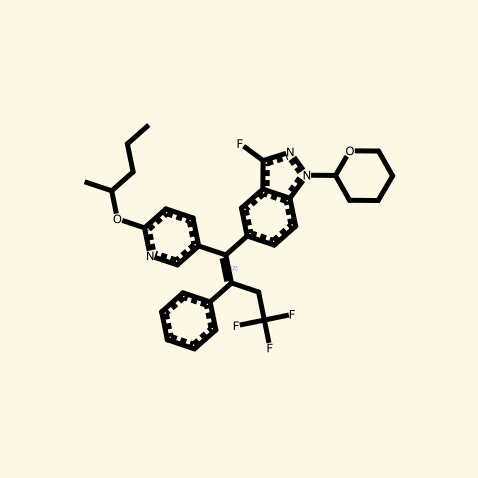 CCCC(C)Oc1ccc(/C(=C(/CC(F)(F)F)c2ccccc2)c2ccc3c(c2)c(F)nn3C2CCCCO2)cn1